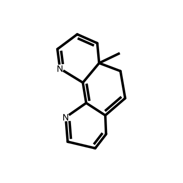 CC12C=CC=NC1=c1ncccc1=CC2